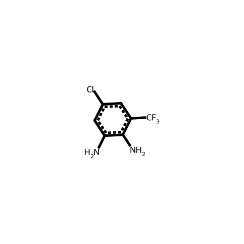 Nc1cc(Cl)cc(C(F)(F)F)c1N